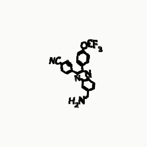 N#Cc1ccc(-c2nc3cc(CN)ccc3nc2-c2ccc(OC(F)(F)F)cc2)cc1